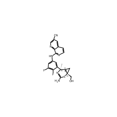 C[C@@]1(c2cc(Nc3nccc4cc(C#N)cnc34)cc(F)c2F)N=C(N)S[C@@]2(CO)C[C@H]21